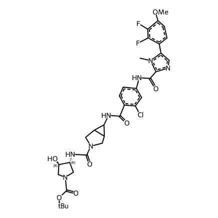 COc1ccc(-c2cnc(C(=O)Nc3ccc(C(=O)NC4C5CN(C(=O)N[C@@H]6CN(C(=O)OC(C)(C)C)C[C@H]6O)CC54)c(Cl)c3)n2C)c(F)c1F